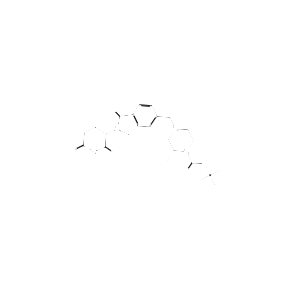 C[C@H]1CN(Cc2ccc3c(c2)CN(C2CCC(=O)NC2=O)C3=O)CCN1C(=O)OC(C)(C)C